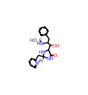 CC(C)C1(Cc2ccccn2)NC(=O)C(C(O)C(Cc2ccccc2)NC(=O)O)N1